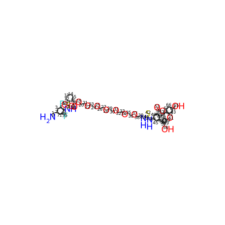 NCc1cc(F)c(NS(=O)(=O)C2CCCC=C2C(=O)OCCOCCOCCOCCOCCOCCOCCNC(=S)Nc2ccc3c(c2)C(=O)OC32c3ccc(O)cc3Oc3cc(O)ccc32)c(F)c1